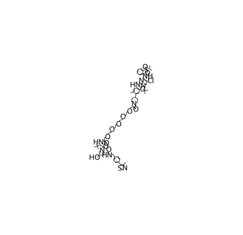 Cc1cc(Nc2ncc(Cl)c(Nc3ccccc3S(=O)(=O)C(C)C)n2)c(OC(C)C)cc1C1CCN(C(=O)COCCOCCOCCOCCOCC(=O)NC(C(=O)N2C[C@H](O)C[C@H]2C(=O)NCc2ccc(-c3scnc3C)cc2)C(C)(C)C)CC1